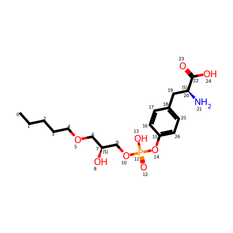 CCCCCOC[C@H](O)COP(=O)(O)Oc1ccc(C[C@H](N)C(=O)O)cc1